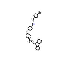 O=C(OCC1c2ccccc2-c2ccccc21)N1CCN(Cc2ccc(/C=C/COc3ccc(Br)cn3)cc2)CC1